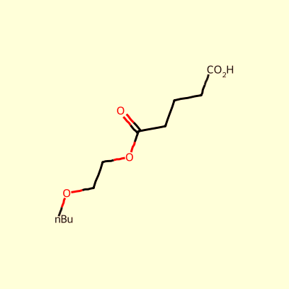 CCCCOCCOC(=O)CCCC(=O)O